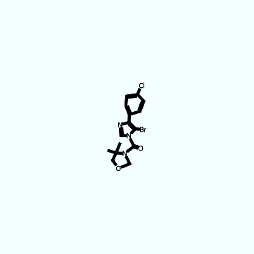 CC1(C)COCN1C(=O)n1cnc(-c2ccc(Cl)cc2)c1Br